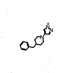 Cn1cc(N2CCC(Cc3ccccc3)CC2)cn1